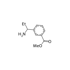 CCC(N)c1cccc(C(=O)OC)c1